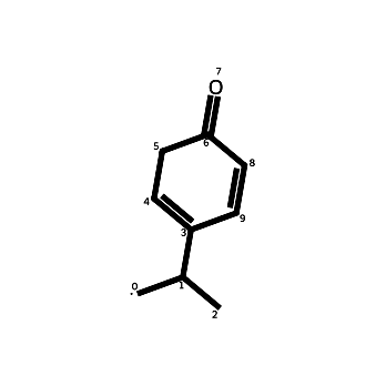 [CH2]C(C)C1=CCC(=O)C=C1